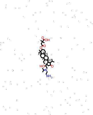 CC(C)C1=C2[C@H]3CC[C@@H]4[C@@]5(C)CC[C@@H](OC(=O)CC(C)(C)C(=O)O)C(C)(C)[C@@H]5CC[C@@]4(C)[C@]3(C)CC[C@@]2([C@@H](O)CN(CCN)C(C)C)CC1=O